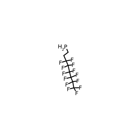 FC(F)(F)C(F)(F)C(F)(F)C(F)(F)C(F)(F)C(F)(F)CCP